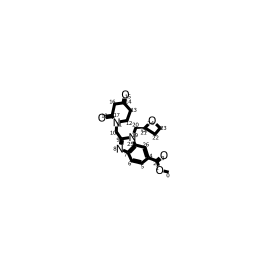 COC(=O)c1ccc2nc(CN3CCC(=O)CC3=O)n(C[C@@H]3CCO3)c2c1